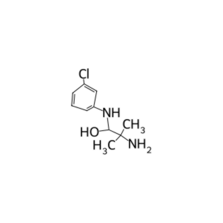 CC(C)(N)C(O)Nc1cccc(Cl)c1